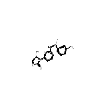 CC(C)[C@H]1COC(=O)N1c1ccnc(N[C@H](C)c2cccc(C(F)(F)F)c2)n1